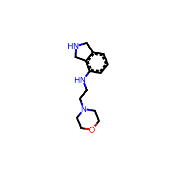 c1cc2c(c(NCCN3CCOCC3)c1)CNC2